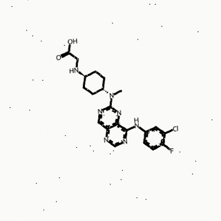 CN(c1ncc2ncnc(Nc3ccc(F)c(Cl)c3)c2n1)[C@H]1CC[C@H](NCC(=O)O)CC1